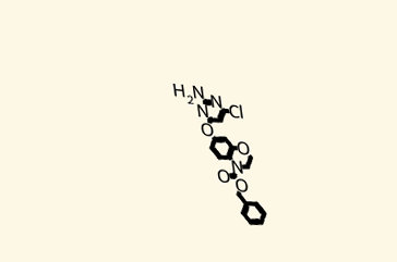 Nc1nc(Cl)cc(Oc2ccc3c(c2)OCCN3C(=O)OCc2ccccc2)n1